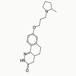 CC1CCCN1CCCOc1ccc2c(c1)CCC1CC(=O)NN=C21